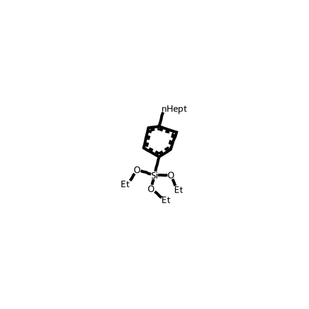 CCCCCCCc1ccc([Si](OCC)(OCC)OCC)cc1